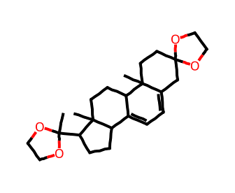 CC1(C2CCC3C4=CC=C5CC6(CCC5(C)C4CCC32C)OCCO6)OCCO1